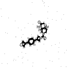 O=C1CO[C@H]2CCN(C(=O)N3CC(c4ccc(C5COC5)cc4)C3)C[C@H]2N1